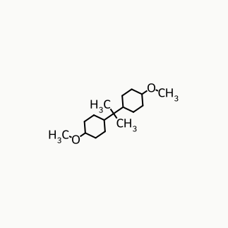 COC1CCC(C(C)(C)C2CCC(OC)CC2)CC1